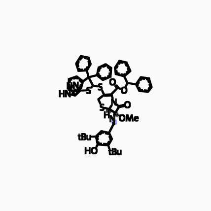 CO[C@@]1(/N=C/c2cc(C(C)(C)C)c(O)c(C(C)(C)C)c2)C(=O)N2C(C(=O)OC(c3ccccc3)c3ccccc3)=C(SC(Sc3c[nH]nn3)C(c3ccccc3)(c3ccccc3)c3ccccc3)CS[C@@H]21